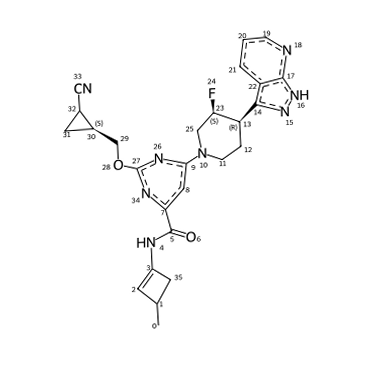 CC1C=C(NC(=O)c2cc(N3CC[C@H](c4n[nH]c5ncccc45)[C@H](F)C3)nc(OC[C@H]3CC3C#N)n2)C1